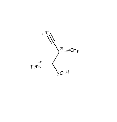 C#C[C@H](C)C([C@H](C)CCC)S(=O)(=O)O